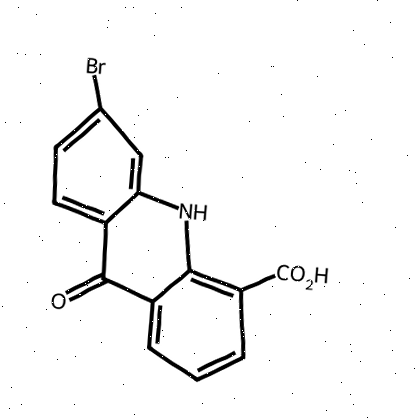 O=C(O)c1cccc2c(=O)c3ccc(Br)cc3[nH]c12